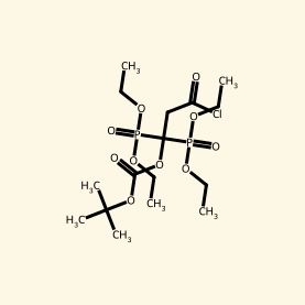 CCOP(=O)(OCC)C(CC(=O)Cl)(OC(=O)OC(C)(C)C)P(=O)(OCC)OCC